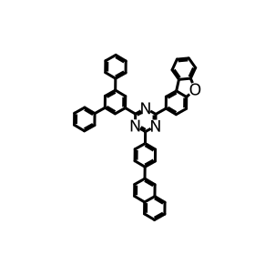 c1ccc(-c2cc(-c3ccccc3)cc(-c3nc(-c4ccc(-c5ccc6ccccc6c5)cc4)nc(-c4ccc5oc6ccccc6c5c4)n3)c2)cc1